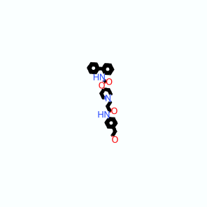 O=CCc1ccc(NC(=O)CCN2CCC(OC(=O)Nc3ccccc3-c3ccccc3)CC2)cc1